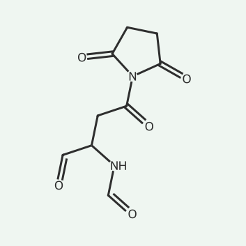 O=CNC(C=O)CC(=O)N1C(=O)CCC1=O